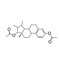 CC(=O)Oc1ccc2c(c1)CCC1C2CC[C@]2(C)C(OC(C)=O)C(C)C(C)C12